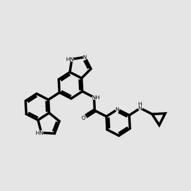 O=C(Nc1cc(-c2cccc3[nH]ccc23)cc2[nH]ncc12)c1cccc(NC2CC2)n1